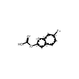 O=C(O)Oc1cc2ccc(F)cc2s1